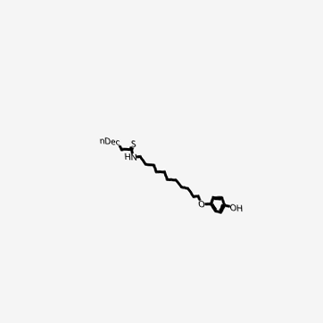 CCCCCCCCCCCC(=S)NCCCCCCCCCCCOc1ccc(O)cc1